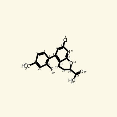 Cc1ccc(-c2cc(Cl)nc3c2CCC(C(=O)O)O3)c(F)c1